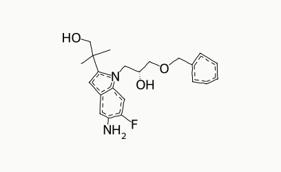 CC(C)(CO)c1cc2cc(N)c(F)cc2n1C[C@@H](O)COCc1ccccc1